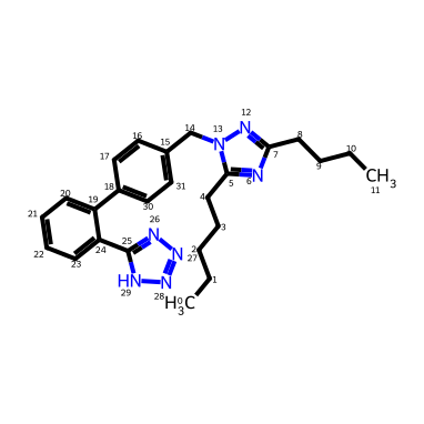 CCCCCc1nc(CCCC)nn1Cc1ccc(-c2ccccc2-c2nnn[nH]2)cc1